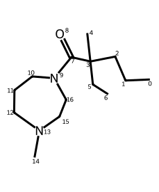 CCCC(C)(CC)C(=O)N1CCCN(C)CC1